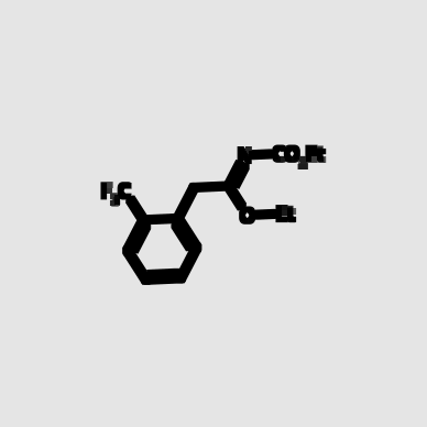 CCOC(=O)N=C(Cc1ccccc1C(F)(F)F)OCC